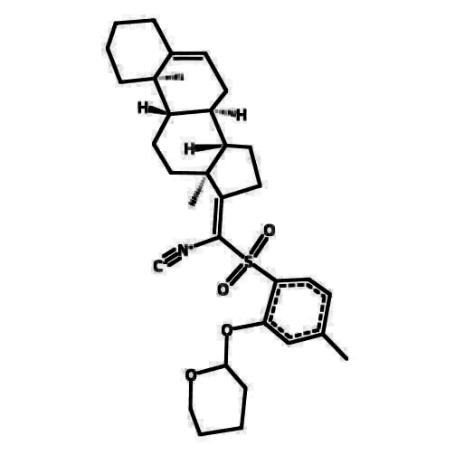 [C-]#[N+]C(=C1CC[C@H]2[C@@H]3CC=C4CCCC[C@]4(C)[C@H]3CC[C@]12C)S(=O)(=O)c1ccc(C)cc1OC1CCCCO1